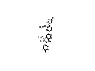 COc1cc(-c2ccc(-n3cnc(C)c3)c(OC)n2)nnc1N[C@@H](C)c1ccc(F)cc1